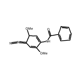 COC1=CC(=[N+]=[N-])C(OC)C=C1NC(=O)c1ccccc1